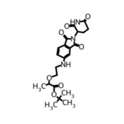 CC(OCCNc1ccc2c(c1)C(=O)N(C1CCC(=O)NC1=O)C2=O)C(=O)OC(C)(C)C